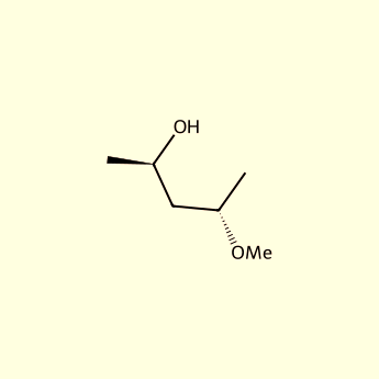 CO[C@@H](C)C[C@@H](C)O